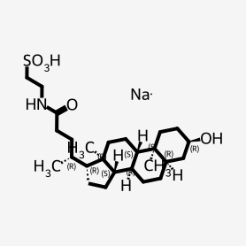 C[C@H](CCC(=O)NCCS(=O)(=O)O)[C@H]1CC[C@H]2[C@@H]3CC[C@@H]4C[C@H](O)CC[C@]4(C)[C@H]3CC[C@]12C.[Na]